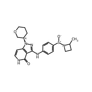 CC1CCN1[S+]([O-])c1ccc(Nc2nn([C@@H]3CCCOC3)c3cc[nH]c(=O)c23)cc1